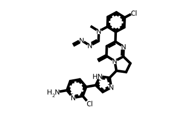 C=N/N=C\N(C)c1ccc(Cl)cc1C1=CC(=C)N2C(=N1)CCC2c1ncc(-c2ccc(N)nc2Cl)[nH]1